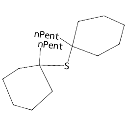 CCCCCC1(SC2(CCCCC)CCCCC2)CCCCC1